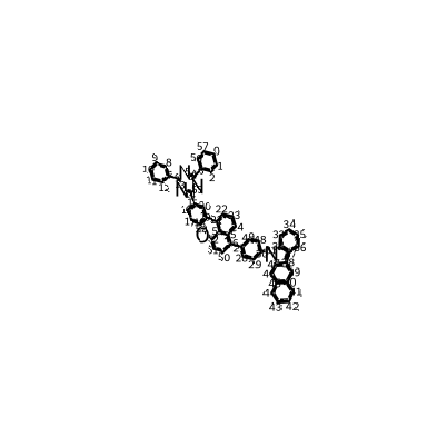 c1ccc(-c2nc(-c3ccccc3)nc(-c3ccc4c(c3)-c3cccc5c(-c6ccc(-n7c8ccccc8c8cc9ccccc9cc87)cc6)ccc(c35)O4)n2)cc1